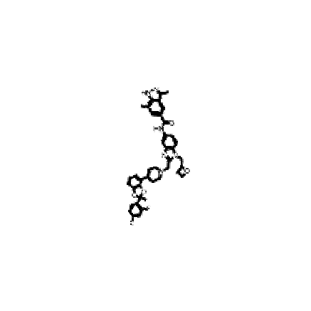 Cc1n[nH]c2c(C)cc(C(=O)Nc3ccc4c(c3)nc(CN3CC=C(c5cccc6c5OC(C)(c5ccc(Cl)cc5F)O6)CC3)n4CC3CCO3)cc12